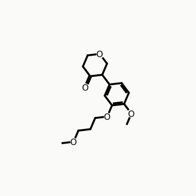 COCCCOc1cc(C2COCCC2=O)ccc1OC